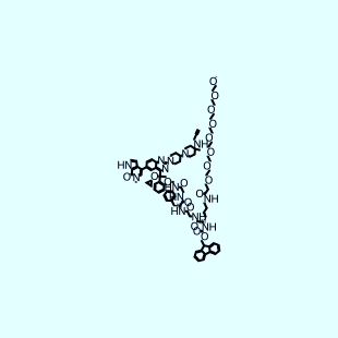 C#CCNC1(C)CCN(C2CCN(c3nc(C(COCNC(=O)CNC(=O)[C@H](Cc4ccccc4)NC(=O)CNC(=O)[C@H](CCCCNC(=O)CCOCCOCCOCCOCCOCCOCCOCCOC)NC(=O)OCC4c5ccccc5-c5ccccc54)(OC4CC4)c4ccccc4)c4cc(-c5cn(C)c(=O)c6[nH]ccc56)ccc4n3)CC2)CC1